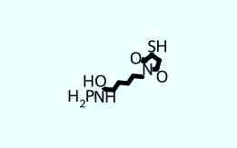 O=C1CC(S)C(=O)N1CCCCCC(O)NP